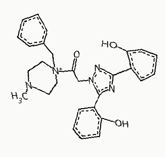 CN1CC[N+](Cc2ccccc2)(C(=O)Cn2nc(-c3ccccc3O)nc2-c2ccccc2O)CC1